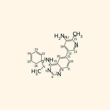 CCC1(Nc2ncnc3ccc(-c4cnc(C)c(N)c4)cc23)C=CC=CC1